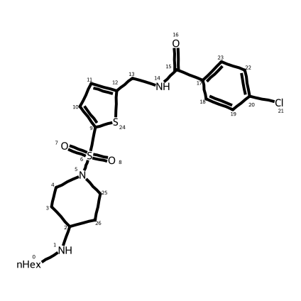 CCCCCCNC1CCN(S(=O)(=O)c2ccc(CNC(=O)c3ccc(Cl)cc3)s2)CC1